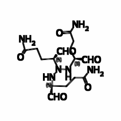 NC(=O)CC[C@@H](C=O)NN(N[C@H](C=O)CCC(N)=O)[C@H](C=O)CCC(N)=O